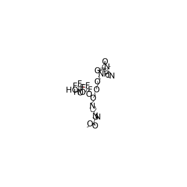 CCOC(=O)c1cnn(C2CCN(CCOCCOCCOCCNC(=O)[C@H]3CC(=O)N(C)[C@@H]3c3cccnc3)CC2)c1.O=C(O)C(F)(F)F.O=C(O)C(F)(F)F